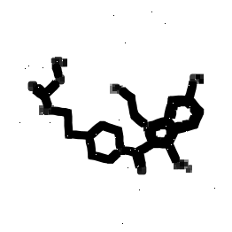 CC(C)CCn1c(C(=O)N2CCC(CCNC(=O)OC(C)(C)C)CC2)c(N)c2ccc(C#N)cc21